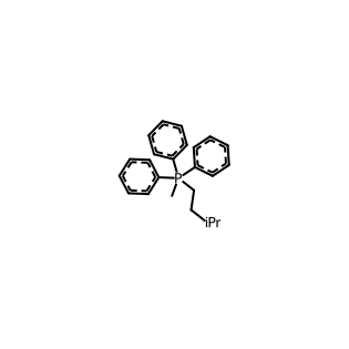 CC(C)CCP(C)(c1ccccc1)(c1ccccc1)c1ccccc1